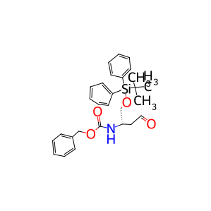 CC(C)(C)[Si](OC[C@H](CC=O)NC(=O)OCc1ccccc1)(c1ccccc1)c1ccccc1